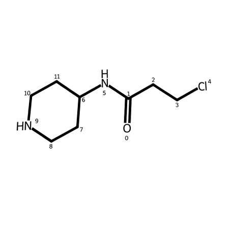 O=C(CCCl)NC1CCNCC1